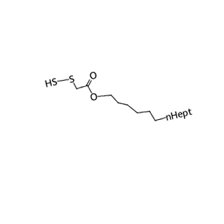 CCCCCCCCCCCCCOC(=O)CSS